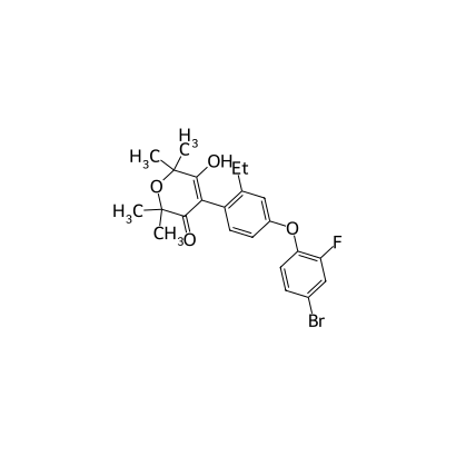 CCc1cc(Oc2ccc(Br)cc2F)ccc1C1=C(O)C(C)(C)OC(C)(C)C1=O